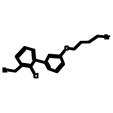 Clc1c(CBr)cccc1-c1cccc(OCCCCBr)c1